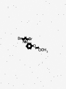 COCCOc1cccc(-n2nc(Br)cc2Br)c1